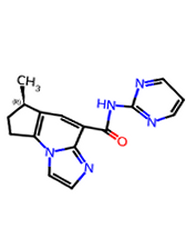 C[C@@H]1CCc2c1cc(C(=O)Nc1ncccn1)c1nccn21